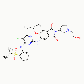 CC(C)Oc1cc2c(cc1Nc1ncc(Cl)c(Nc3ccccc3S(=O)(=O)C(C)C)n1)C(=O)N(C1CCN(CCO)C1)C2=O